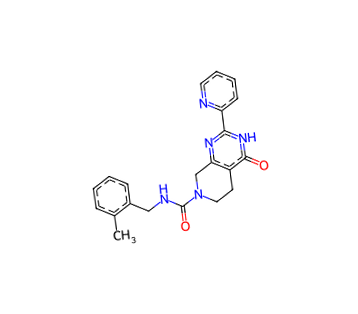 Cc1ccccc1CNC(=O)N1CCc2c(nc(-c3ccccn3)[nH]c2=O)C1